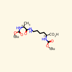 C[C@H](NC(=O)OC(C)(C)C)C(=O)NCCCC[C@H](NC(=O)OC(C)(C)C)C(=O)O